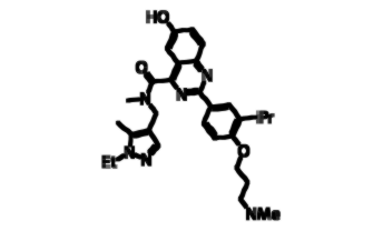 CCn1ncc(CN(C)C(=O)c2nc(-c3ccc(OCCCNC)c(C(C)C)c3)nc3ccc(O)cc23)c1C